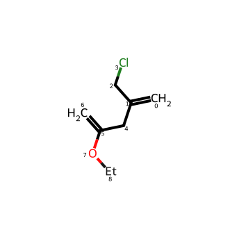 C=C(CCl)CC(=C)OCC